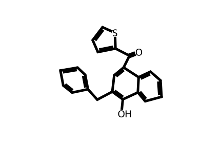 O=C(c1cccs1)c1cc(Cc2ccccc2)c(O)c2ccccc12